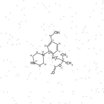 CC(C)(C)OC=O.OCc1cccc(N2CCNCC2)c1